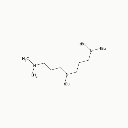 CN(C)CCCN(CCCN(C(C)(C)C)C(C)(C)C)C(C)(C)C